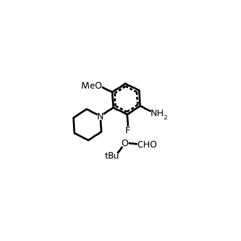 CC(C)(C)OC=O.COc1ccc(N)c(F)c1N1CCCCC1